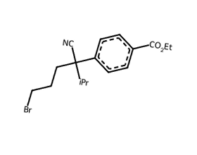 CCOC(=O)c1ccc(C(C#N)(CCCBr)C(C)C)cc1